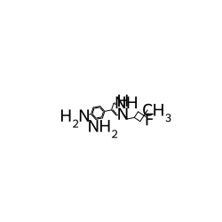 CC1(F)CC(CN/C=C(\C=N)c2ccc(N)c(N)c2)C1